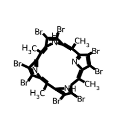 Cc1c2nc(c(C)c3[nH]c(c(C)c4nc(c(C)c5[nH]c1c(Br)c5Br)C(Br)=C4Br)c(Br)c3Br)C(Br)=C2Br